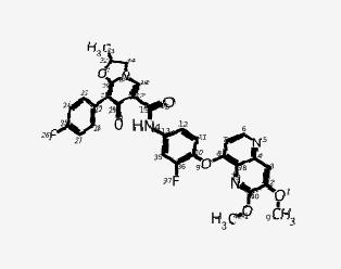 COc1cc2nccc(Oc3ccc(NC(=O)c4cn5c(c(-c6ccc(F)cc6)c4=O)OC(C)C5)cc3F)c2nc1OC